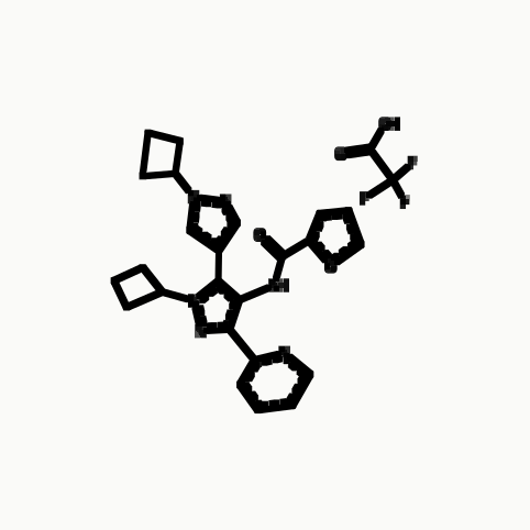 O=C(Nc1c(-c2ccccn2)nn(C2CCC2)c1-c1cnn(C2CCC2)c1)c1ccco1.O=C(O)C(F)(F)F